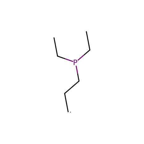 [CH2]CCP(CC)CC